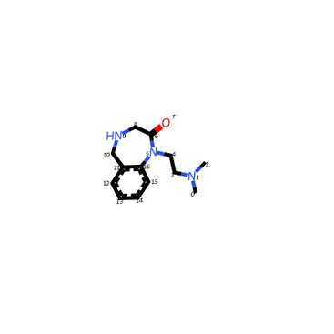 CN(C)CCN1C(=O)CNCc2ccccc21